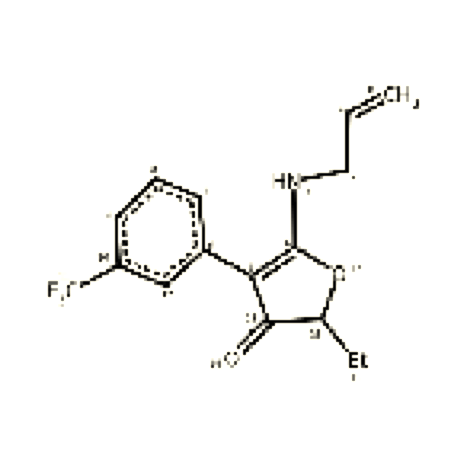 C=CCNC1=C(c2cccc(C(F)(F)F)c2)C(=O)C(CC)O1